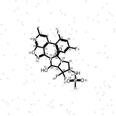 Cc1cc(-c2c(F)cc(F)cc2F)c2c(N3C(=O)N4C[C@@H](NS(C)(=O)=O)C(F)(F)C4C3O)noc2n1